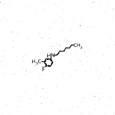 CCCCCCCNc1ccc(F)c(C)c1